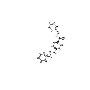 O=C(COc1ccccc1)N1CCN(CCCc2ccccc2)CC1